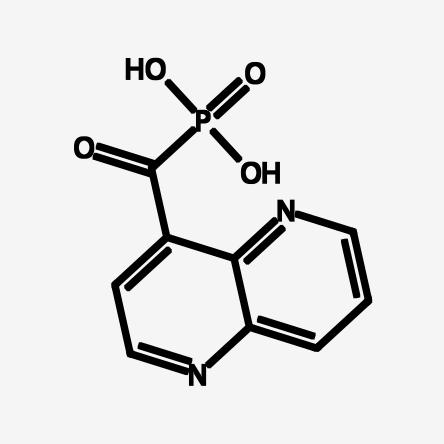 O=C(c1ccnc2cccnc12)P(=O)(O)O